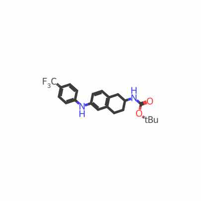 CC(C)(C)OC(=O)NC1CCc2cc(Nc3ccc(C(F)(F)F)cc3)ccc2C1